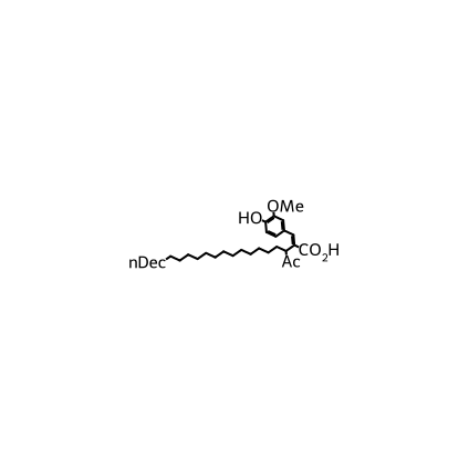 CCCCCCCCCCCCCCCCCCCCCCCC(C(C)=O)C(=Cc1ccc(O)c(OC)c1)C(=O)O